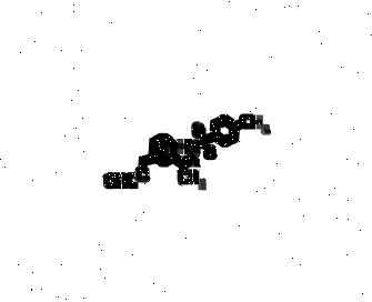 C/C(=N/NS(=O)(=O)c1ccc(C)cc1)C1CC2C=CC1N(COC=O)C2